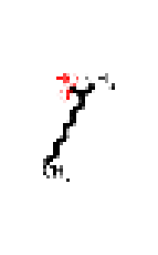 [CH2]CCCCCCCCC(CC)C(=O)O